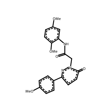 COc1ccc(-c2ccc(=O)n(CC(=O)Nc3cc(OC)ccc3OC)n2)cc1